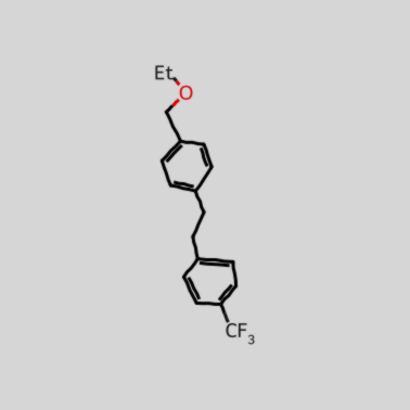 CCOCc1ccc(CCc2ccc(C(F)(F)F)cc2)cc1